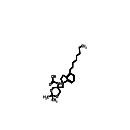 CCCCCCCCc1cccc2c1CCN2CC1(NC(=O)O)COC(C)(C)OC1